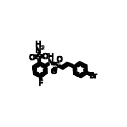 NS(=O)(=O)c1ccc(F)cc1NS(=O)(=O)C=Cc1ccc(Br)cc1